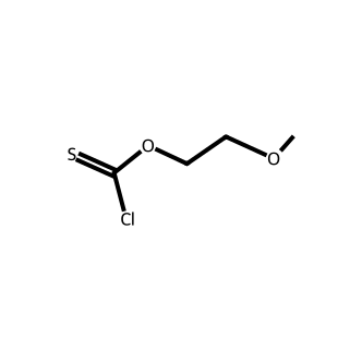 COCCOC(=S)Cl